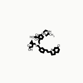 CC(C)(O)c1ccccc1CC[C@@H](SCC1(CC(=O)O)CC1)c1cccc(C=Cc2ccc3ccc(Cl)cc3n2)c1.CC1CNCCN1